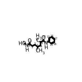 CC(CCC(=O)NO)CC(C)C(=O)Nc1ccccc1